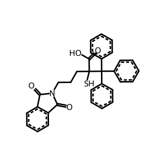 O=C1c2ccccc2C(=O)N1CCCC(S)(C(=O)O)C(c1ccccc1)(c1ccccc1)c1ccccc1